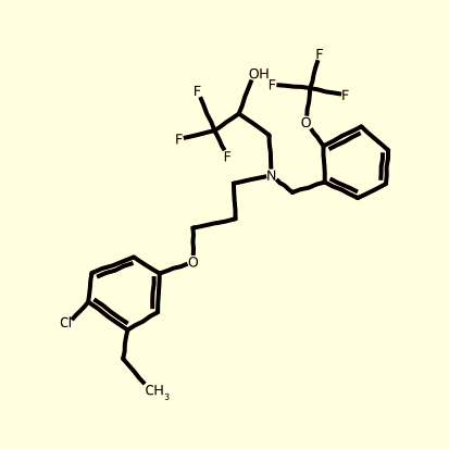 CCc1cc(OCCCN(Cc2ccccc2OC(F)(F)F)CC(O)C(F)(F)F)ccc1Cl